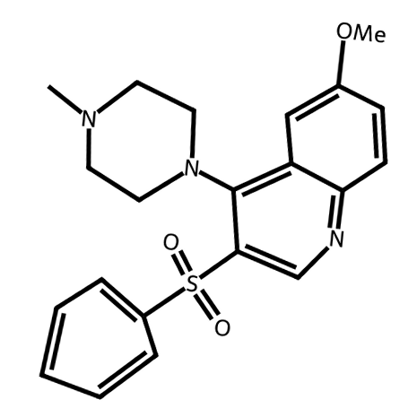 COc1ccc2ncc(S(=O)(=O)c3ccccc3)c(N3CCN(C)CC3)c2c1